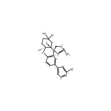 CCC1(O)CC[C@@H]2Oc3ccc(-c4cncc(Cl)c4)cc3[C@]3(COC(N)=N3)[C@H]2C1